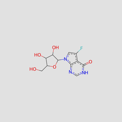 O=c1[nH]cnc2c1c(F)cn2C1OC(CO)C(O)C1O